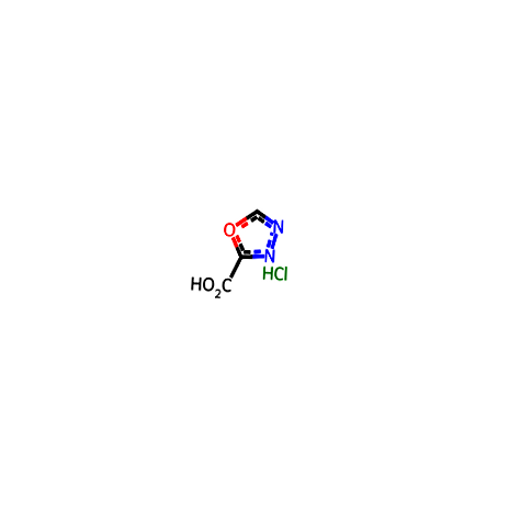 Cl.O=C(O)c1nnco1